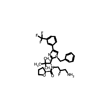 CC(C)(C)[C@H](c1nc(-c2cccc(C(F)(F)F)c2)cn1Cc1ccccc1)N(C[C@H](F)CN)C(=O)[C@@H]1CCCO1